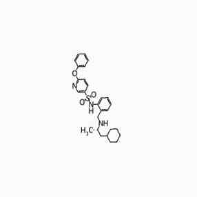 C[C@@H](CC1CCCCC1)NCc1ccccc1NS(=O)(=O)c1ccc(Oc2ccccc2)nc1